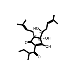 CCC(C)C(=O)C1=C(O)[C@](O)([C@@H](O)CC=C(C)C)[C@H](CC=C(C)C)C1=O